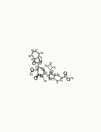 COC(=O)c1ccc2nc(-c3nc(-c4nc5ccccc5o4)c(OC)c(=O)n3C)n(C3CCC3)c2c1